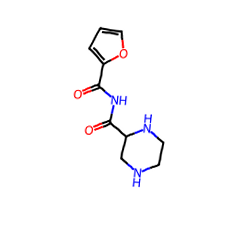 O=C(NC(=O)C1CNCCN1)c1ccco1